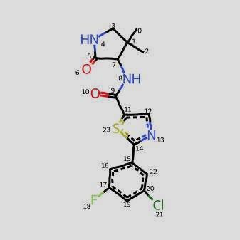 CC1(C)CNC(=O)C1NC(=O)c1cnc(-c2cc(F)cc(Cl)c2)s1